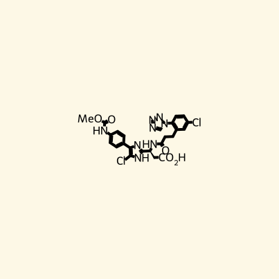 COC(=O)Nc1ccc(-c2nc([C@H](CC(=O)O)NC(=O)CCc3cc(Cl)ccc3-n3cnnn3)[nH]c2Cl)cc1